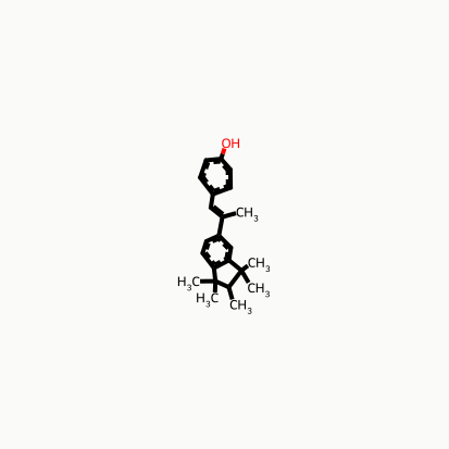 CC(=Cc1ccc(O)cc1)c1ccc2c(c1)C(C)(C)C(C)C2(C)C